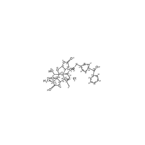 CC[C@H](CI)C(O)[C@]12C3C(OC(=O)[C@@H]3OCc3ccc(C(=O)c4ccccc4)cc3)OC1(CO)[C@]1(O)C(OC(=O)[C@H]1C)[C@@H]2O